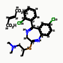 CC(CN(C)C)SC1=Nc2ccc(Cl)cc2C(c2ccccc2Cl)=NC1.O=C(O)C=CC(=O)O